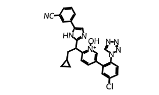 N#Cc1cccc(-c2cnc(C(CC3CC3)c3ccc(-c4cc(Cl)ccc4-n4cnnn4)c[n+]3O)[nH]2)c1